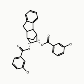 O=C(O[C@@H]1C2CC(C3c4ccccc4CC32)[C@@H]1OC(=O)c1cccc(Cl)c1)c1cccc(Cl)c1